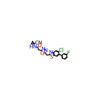 N#CC1(NC(=O)Cc2nnc(Cc3nc4cc(Cl)c(-c5cccc(F)c5)cc4s3)o2)CC1